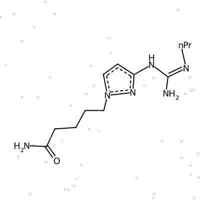 CCC/N=C(/N)Nc1ccn(CCCCC(N)=O)n1